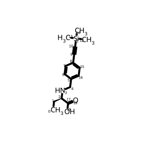 CC[C@@H](NCc1ccc(C#C[Si](C)(C)C)cc1)C(=O)O